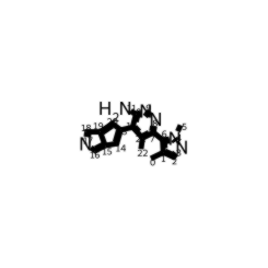 Cc1cnn(C)c1-c1nnc(N)c(C2=CC3=CN=CC3=C2)c1C